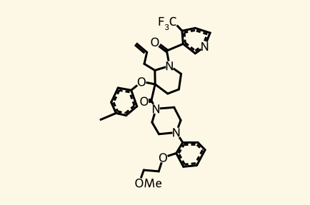 C=CCC1N(C(=O)c2cnccc2C(F)(F)F)CCCC1(Oc1ccc(C)cc1)C(=O)N1CCN(c2ccccc2OCCOC)CC1